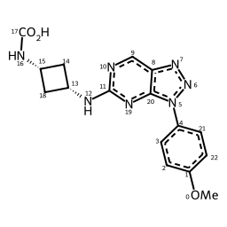 COc1ccc(-n2nnc3cnc(N[C@H]4C[C@@H](NC(=O)O)C4)nc32)cc1